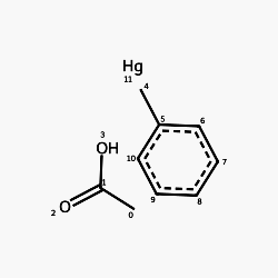 CC(=O)O.Cc1ccccc1.[Hg]